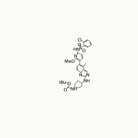 COc1nc(NS(=O)(=O)c2ccccc2Cl)ccc1-c1ccc2nc(NC3CCC(NC(=O)OC(C)(C)C)CC3)ncc2c1C